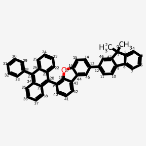 CC1(C)c2ccccc2-c2ccc(-c3ccc4oc5c(-c6c7ccccc7c(-c7ccccc7)c7ccccc67)cccc5c4c3)cc21